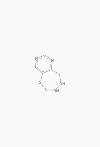 c1ncc2c(n1)CNNSS2